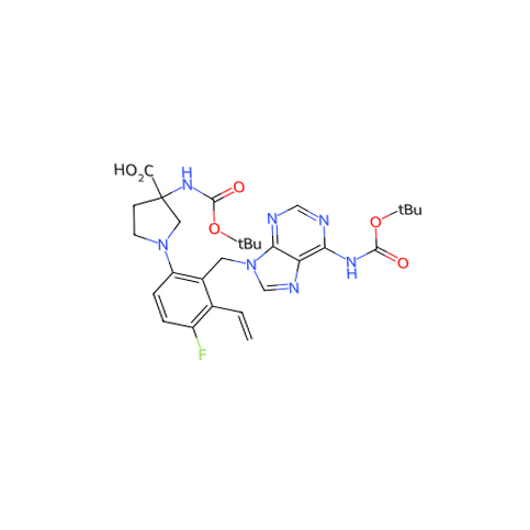 C=Cc1c(F)ccc(N2CCC(NC(=O)OC(C)(C)C)(C(=O)O)C2)c1Cn1cnc2c(NC(=O)OC(C)(C)C)ncnc21